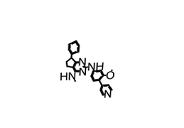 CNc1nc(Nc2ccc(-c3ccncc3)c(OC)c2)nc2c1CCC2c1ccccc1